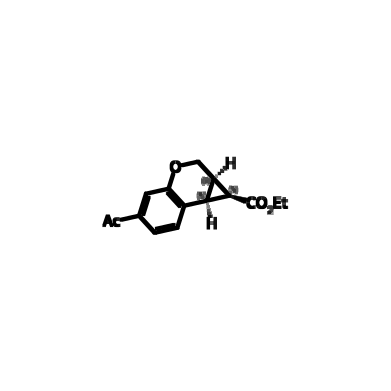 CCOC(=O)[C@@H]1[C@@H]2COc3cc(C(C)=O)ccc3[C@@H]21